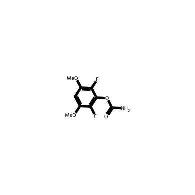 COc1cc(OC)c(F)c(OC(N)=O)c1F